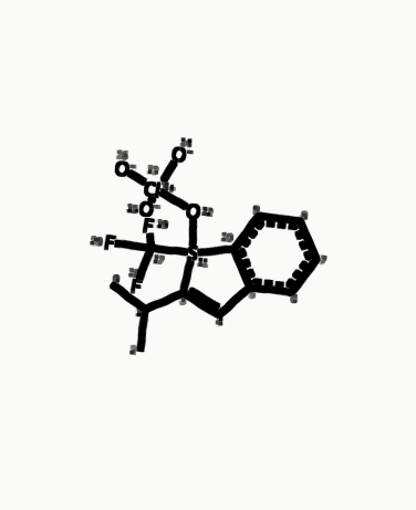 CC(C)C1=Cc2ccccc2S1(O[Cl+3]([O-])([O-])[O-])C(F)(F)F